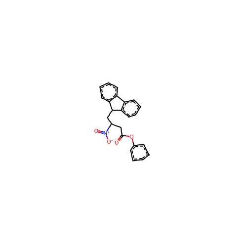 O=C(CC(CC1c2ccccc2-c2ccccc21)[N+](=O)[O-])Oc1ccccc1